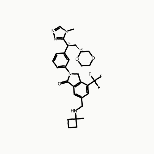 Cn1cnnc1[C@@H](C[C@@H]1COCCO1)c1cccc(N2Cc3c(cc(CNC4(C)CCC4)cc3C(F)(F)F)C2=O)c1